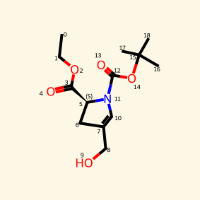 CCOC(=O)[C@@H]1CC(CO)=CN1C(=O)OC(C)(C)C